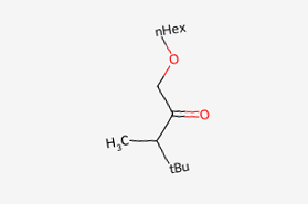 CCCCCCOCC(=O)C(C)C(C)(C)C